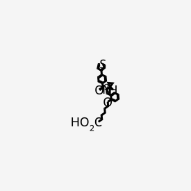 [2H]C1(N(Cc2ccccc2OCCCCCC(=O)O)C(=O)c2ccc(-c3ccsc3)cc2)CC1